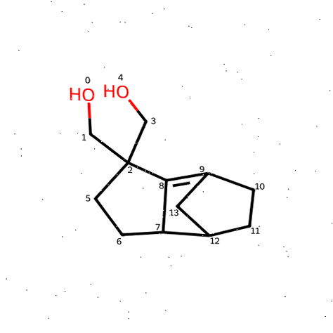 OCC1(CO)CCC2C1=C1CCC2C1